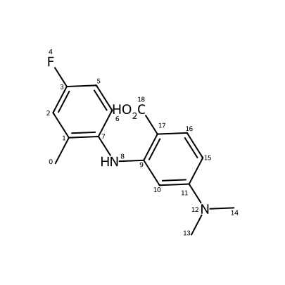 Cc1cc(F)ccc1Nc1cc(N(C)C)ccc1C(=O)O